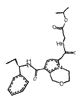 CC[C@@H](NC(=O)c1cc(C(=O)NCC(=O)OC(C)C)n2c1COCC2)c1ccccc1